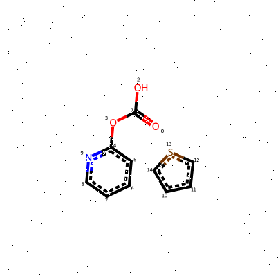 O=C(O)Oc1ccccn1.c1ccsc1